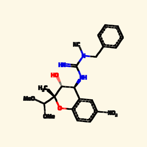 COC(OC)[C@@]1(C)Oc2ccc([N+](=O)[O-])cc2[C@H](NC(=N)N(C#N)Cc2ccccc2)[C@H]1O